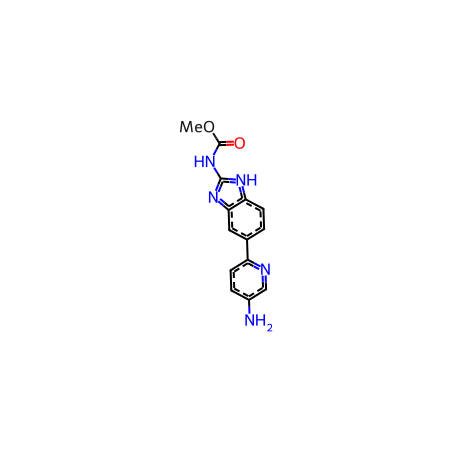 COC(=O)Nc1nc2cc(-c3ccc(N)cn3)ccc2[nH]1